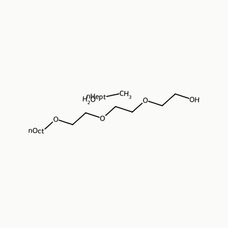 CCCCCCCC.CCCCCCCCOCCOCCOCCO.O